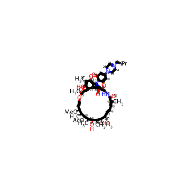 CO[C@H]1/C=C/O[C@@]2(C)Oc3c(C)c(O)c4c(=O)c(c5oc6cc(N7CCN(CC(C)C)CC7)cc(=O)c6nc5c4c3=C2O)NC(=O)/C(C)=C\C=C\[C@H](C)[C@H](O)[C@@H](C)[C@@H](O)[C@@H](C)[C@H](OC(C)=O)[C@@H]1C